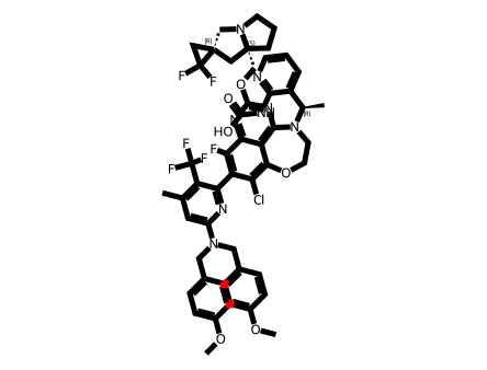 COc1ccc(CN(Cc2ccc(OC)cc2)c2cc(C)c(C(F)(F)F)c(-c3c(Cl)c4c5c(nc(OC[C@@]67CCCN6C[C@]6(CC6(F)F)C7)nc5c3F)N([C@H](C)c3cccnc3NC(=O)O)CCO4)n2)cc1